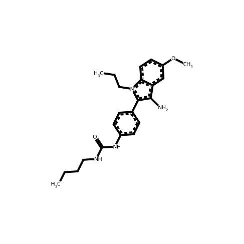 CCCCNC(=O)Nc1ccc(-c2c(N)c3cc(OC)ccc3n2CCC)cc1